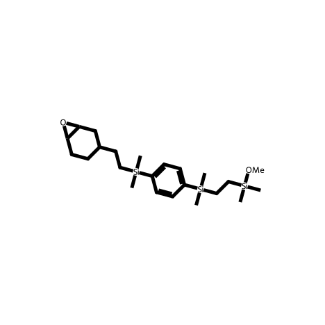 CO[Si](C)(C)CC[Si](C)(C)c1ccc([Si](C)(C)CCC2CCC3OC3C2)cc1